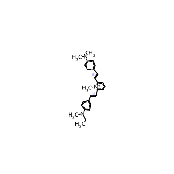 CCN(C)c1ccc(/C=C/c2cccc(/C=C/c3ccc(N(C)C)cc3)[n+]2C)cc1